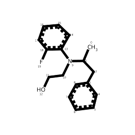 CC(Cc1ccccc1)N(CCO)c1ccccc1F